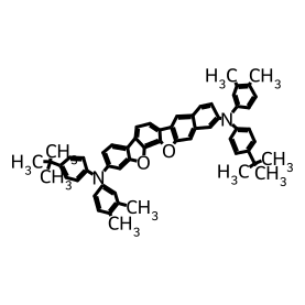 Cc1ccc(N(c2ccc(C(C)(C)C)cc2)c2ccc3cc4c(cc3c2)oc2c4ccc3c4ccc(N(c5ccc(C(C)(C)C)cc5)c5ccc(C)c(C)c5)cc4oc32)cc1C